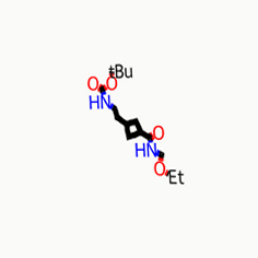 CCOCNC(=O)C1CC(CCNC(=O)OC(C)(C)C)C1